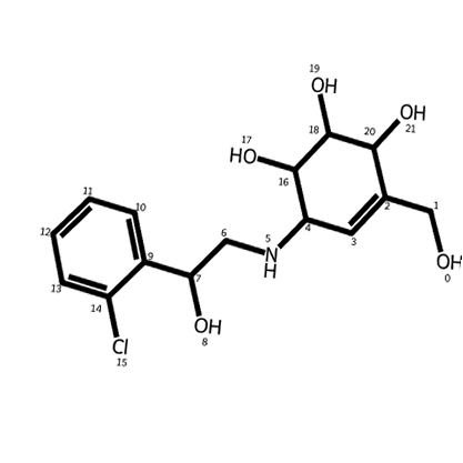 OCC1=CC(NCC(O)c2ccccc2Cl)C(O)C(O)C1O